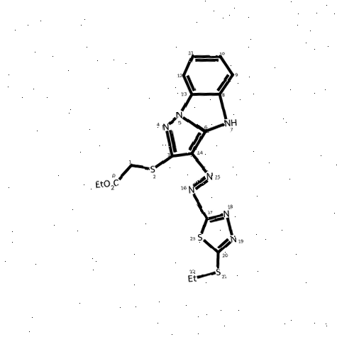 CCOC(=O)CSc1nn2c([nH]c3ccccc32)c1/N=N/c1nnc(SCC)s1